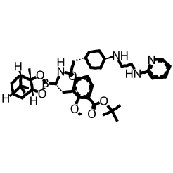 COc1c(C[C@@H](NC(=O)C[C@H]2CC[C@H](NCCNc3ccccn3)CC2)B2O[C@@H]3C[C@@H]4C[C@@H](C4(C)C)[C@]3(C)O2)cccc1C(=O)OC(C)(C)C